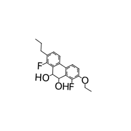 CCCc1ccc2c(c1F)C(O)C(O)c1c-2ccc(OCC)c1F